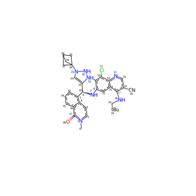 Cn1ccc2c([C@H](Nc3cc(Cl)c4ncc(C#N)c(NCC(C)(C)C)c4c3)C3=CN(C45CC(C4)C5)NN3)cccc2c1=O